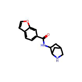 O=C(NC1CC2CNC1C2)c1ccc2ccoc2c1